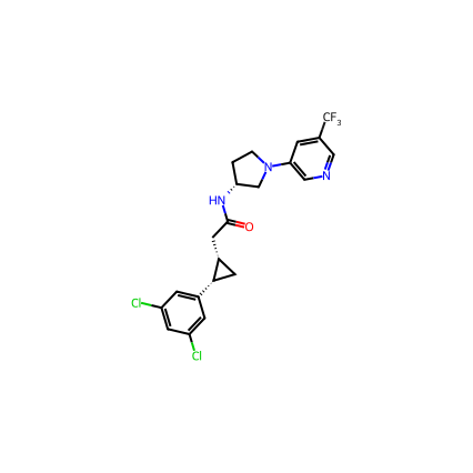 O=C(C[C@@H]1C[C@@H]1c1cc(Cl)cc(Cl)c1)N[C@@H]1CCN(c2cncc(C(F)(F)F)c2)C1